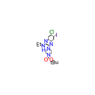 CCNc1nc2cc(Cl)c(I)cc2nc1N1CCN(C(=O)OC(C)(C)C)CC1